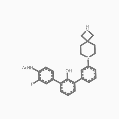 CC(=O)Nc1ccc(-c2cccc(-c3cccc(N4CCC5(CC4)CNC5)c3)c2O)cc1F